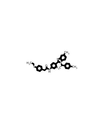 CCSc1ccc(CC(=O)Nc2ccc(-c3nc4cc(C)ccc4n3[C@H](C)c3ccc(C)cc3)cc2)cc1